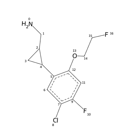 NCC1CC1c1cc(Cl)c(F)cc1OCCF